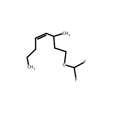 CCC/C=C\C(C)CCOC(F)F